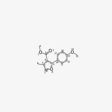 COC(=O)c1c(C)noc1-c1ccc(OC)cc1